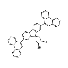 SCCC1(CCS)c2cc(-c3cc4ccccc4c4ccccc34)ccc2-c2ccc(-c3cc4ccccc4c4ccccc34)cc21